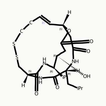 CC(C)C[C@H]1NC(=O)C[C@H]2/C=C/CCSSC[C@@H](NC1=O)C(=O)N[C@H](C(C)C)[C@H](O)CC(=O)O2